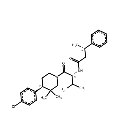 CC(C)[C@@H](NC(=O)C[C@H](C)c1ccccc1)C(=O)N1CC[C@H](c2ccc(Cl)cc2)C(C)(C)C1